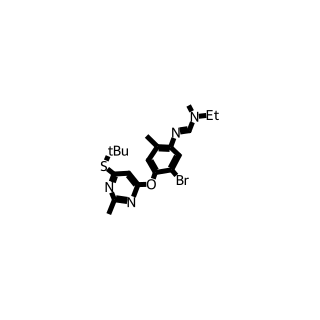 CCN(C)C=Nc1cc(Br)c(Oc2cc(SC(C)(C)C)nc(C)n2)cc1C